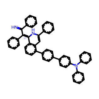 N=C(/C(=C1\NC(c2ccccc2)=Cc2c1cccc2-c1ccc(-c2ccc(N(c3ccccc3)c3ccccc3)cc2)cc1)c1ccccc1)c1ccccc1